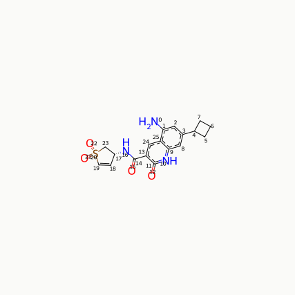 Nc1cc(C2CCC2)cc2[nH]c(=O)c(C(=O)N[C@@H]3C=CS(=O)(=O)C3)cc12